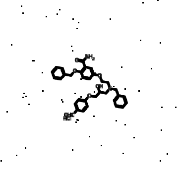 Cl.NC(=O)c1cc(OCCN(Cc2ccccc2)CC(O)COc2ccc(C=O)cc2)ccc1OCc1ccccc1